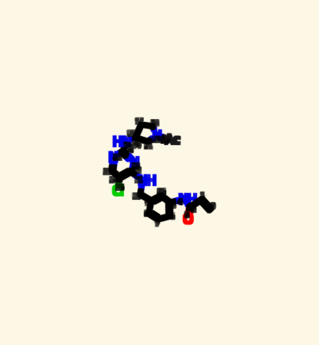 C=CC(=O)Nc1cccc(CNc2nc(N[C@H]3CCN(C(C)=O)C3)ncc2Cl)c1